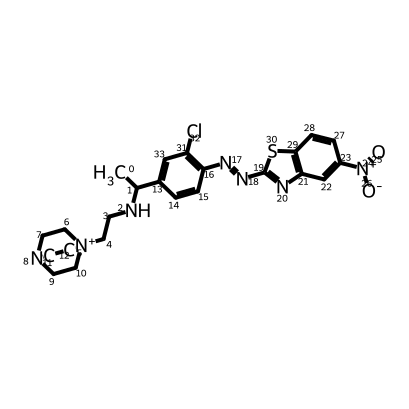 CC(NCC[N+]12CCN(CC1)CC2)c1ccc(N=Nc2nc3cc([N+](=O)[O-])ccc3s2)c(Cl)c1